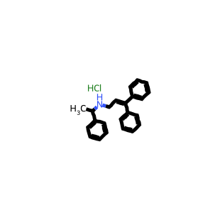 CC(NCC=C(c1ccccc1)c1ccccc1)c1ccccc1.Cl